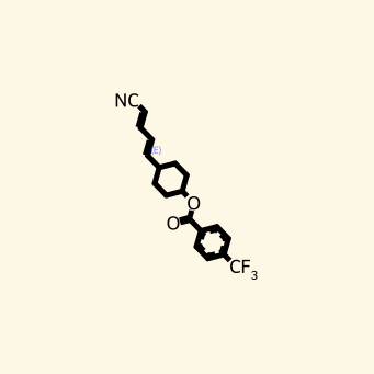 N#CC=C/C=C/C1CCC(OC(=O)c2ccc(C(F)(F)F)cc2)CC1